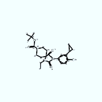 CCN1C(=O)N(c2ccc(Cl)c(C3CC3)c2)C(=O)C12CCN(C(=O)OC(C)(C)C)CC2